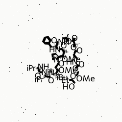 CCC(CO)OC(COC(=O)NCCC(=O)O[C@@H](C)C(=O)O[C@H](C)CNC(=O)[C@H](Cc1ccccc1)NC(=O)[C@H](C)[C@@H](OC)[C@@H]1CCCN1C(=O)C[C@@H](OC)[C@H]([C@@H](C)CC)N(C)C(=O)[C@@H](NC(=O)[C@@H](N)C(C)C)C(C)C)OC